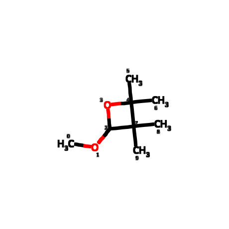 COC1OC(C)(C)C1(C)C